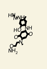 Cc1cc(NC2=CC(=O)C(N(C)CCON)=CC2=O)c(O)cc1NN=N